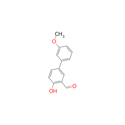 COc1cccc(-c2ccc(O)c(C=O)c2)c1